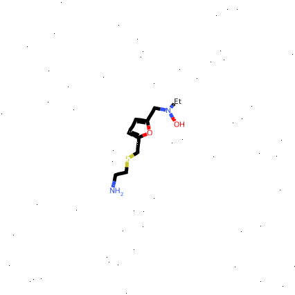 CCN(O)Cc1ccc(CSCCN)o1